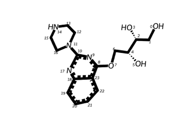 OC[C@@H](O)[C@H](O)COc1nc(N2CCNCC2)nc2ccccc12